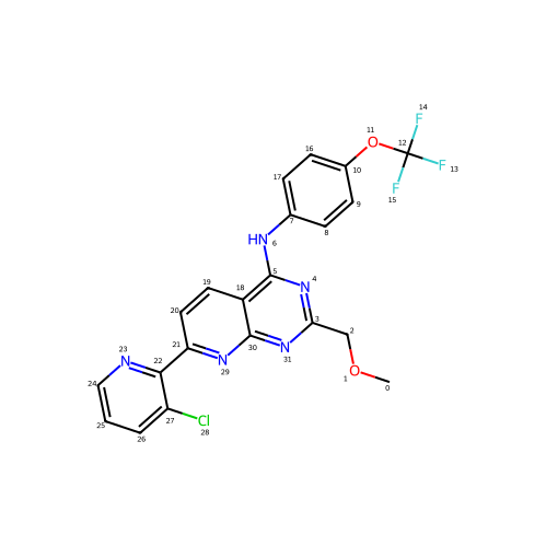 COCc1nc(Nc2ccc(OC(F)(F)F)cc2)c2ccc(-c3ncccc3Cl)nc2n1